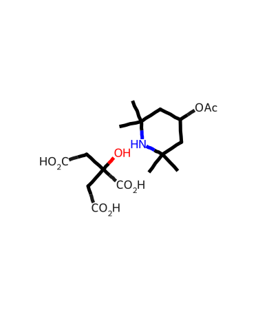 CC(=O)OC1CC(C)(C)NC(C)(C)C1.O=C(O)CC(O)(CC(=O)O)C(=O)O